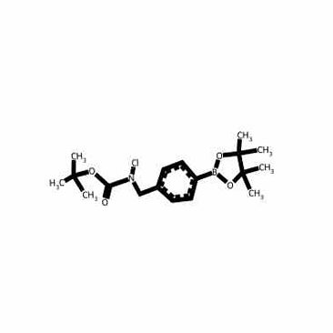 CC(C)(C)OC(=O)N(Cl)Cc1ccc(B2OC(C)(C)C(C)(C)O2)cc1